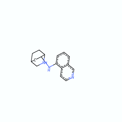 c1cc(NC2CC3CCC2NC3)c2ccncc2c1